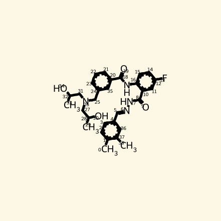 Cc1ccc(C=NNC(=O)c2cc(F)ccc2NC(=O)c2cccc(CN(CC(C)O)CC(C)O)c2)cc1C